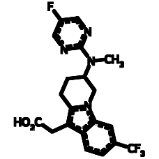 CN(c1ncc(F)cn1)C1CCc2c(CC(=O)O)c3ccc(C(F)(F)F)cc3n2C1